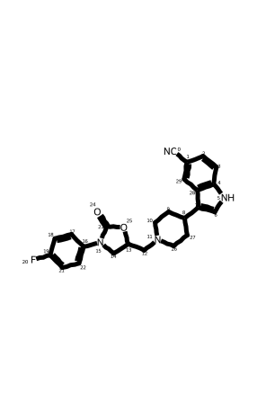 N#Cc1ccc2[nH]cc(C3CCN(CC4CN(c5ccc(F)cc5)C(=O)O4)CC3)c2c1